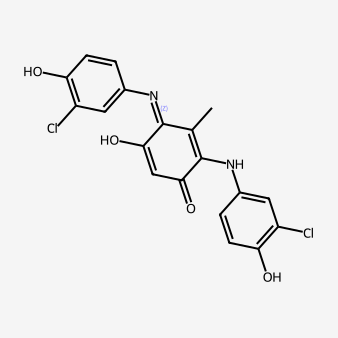 CC1=C(Nc2ccc(O)c(Cl)c2)C(=O)C=C(O)/C1=N\c1ccc(O)c(Cl)c1